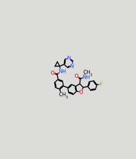 CNC(=O)C1c2cc(-c3cc(C(=O)NC4(c5cncnc5)CC4)ccc3C)ccc2OC1c1ccc(F)cc1